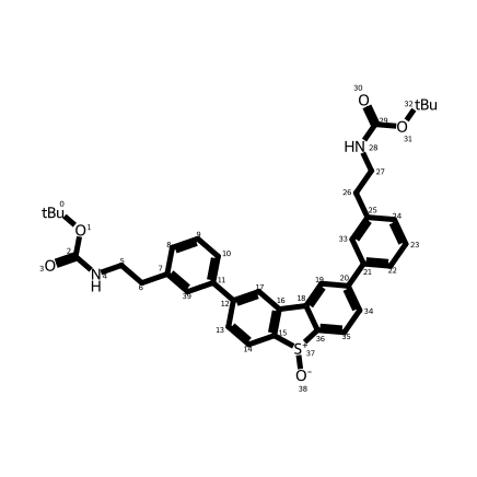 CC(C)(C)OC(=O)NCCc1cccc(-c2ccc3c(c2)c2cc(-c4cccc(CCNC(=O)OC(C)(C)C)c4)ccc2[s+]3[O-])c1